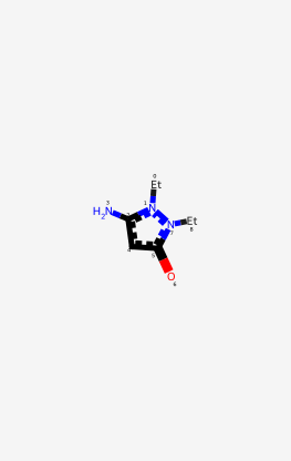 CCn1c(N)cc(=O)n1CC